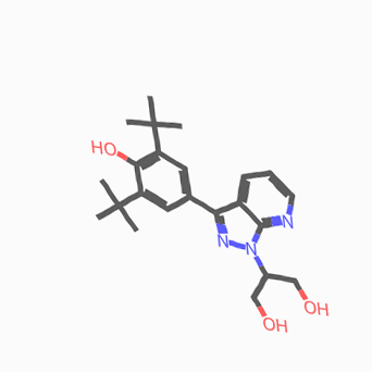 CC(C)(C)c1cc(-c2nn(C(CO)CO)c3ncccc23)cc(C(C)(C)C)c1O